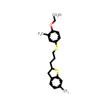 CCOC(=O)COc1ccc(SCCCC2Cc3ccc(C(F)(F)F)cc3S2)cc1C(F)(F)F